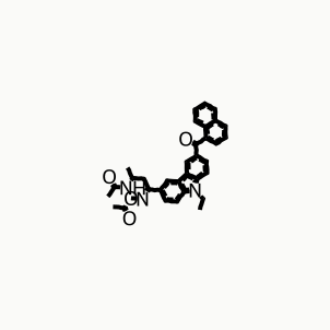 CCn1c2ccc(C(=O)c3cccc4ccccc34)cc2c2cc(C(CC(C)NC(C)=O)=NOC(C)=O)ccc21